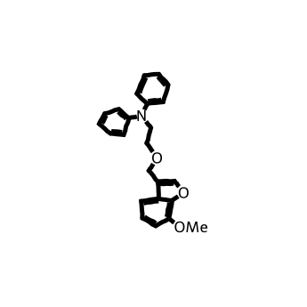 COc1cccc2c(COCCN(c3ccccc3)c3ccccc3)coc12